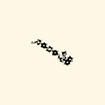 CCC(C)N1CN(c2ccc(N3CCN(c4ccc(OC[C@@H]5CO[C@@](Cn6nccn6)(c6cccc7ncccc67)O5)cc4)CC3)cc2)C=N1